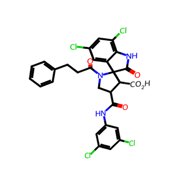 O=C(Nc1cc(Cl)cc(Cl)c1)C1CN(C(=O)CCc2ccccc2)C2(C(=O)Nc3c(Cl)cc(Cl)cc32)C1C(=O)O